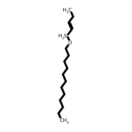 CCC=C[SiH2]OCCCCCCCCCCCC